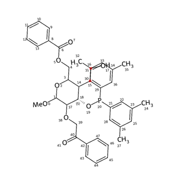 COC1OC(COC(=O)c2ccccc2)C(CCO)[C@H](OP(c2cc(C)cc(C)c2)c2cc(C)cc(C)c2)C1OCC(=O)c1ccccc1